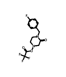 O=C1CN(OC(=O)C(F)(F)F)CCN1Cc1ccc(F)cc1